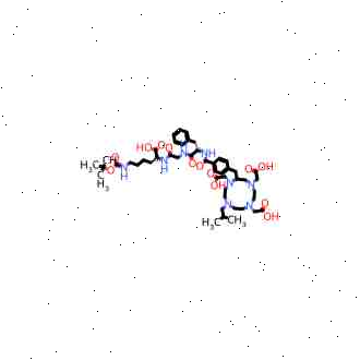 CC(C)CN1CCN(CC(=O)O)CCN(CC(=O)O)CC(Cc2ccc(C(=O)N[C@@H](Cc3ccccc3)C(=O)NCC(=O)N[C@@H](CCCCNC(=O)OC(C)(C)C)C(=O)O)cc2)N(CC(=O)O)CC1